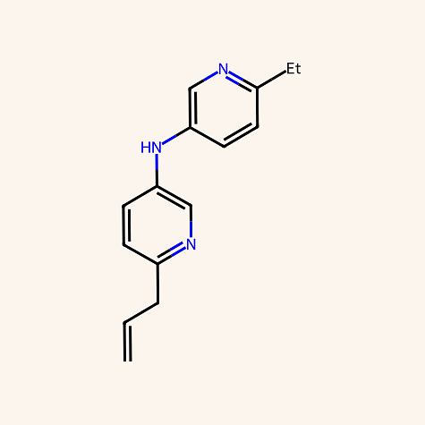 C=CCc1ccc(Nc2ccc(CC)nc2)cn1